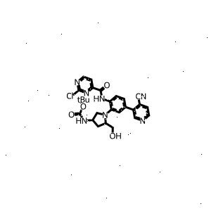 CC(C)(C)OC(=O)NC1CC(CO)N(c2cc(-c3cnccc3C#N)ccc2NC(=O)c2ccnc(Cl)n2)C1